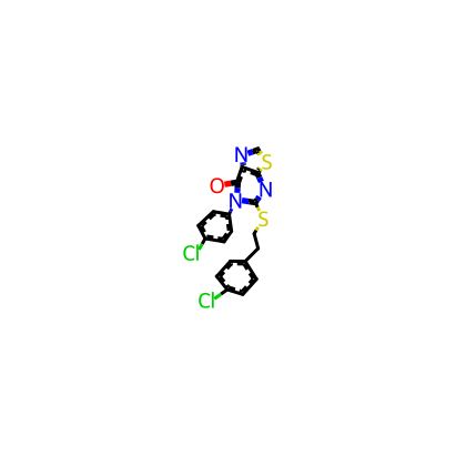 O=c1c2ncsc2nc(SCCc2ccc(Cl)cc2)n1-c1ccc(Cl)cc1